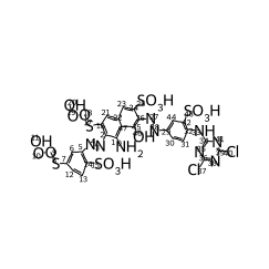 Nc1c(N=Nc2cc(SOOO)ccc2S(=O)(=O)O)c(SOOO)cc2cc(S(=O)(=O)O)c(N=Nc3ccc(Nc4nc(Cl)nc(Cl)n4)c(S(=O)(=O)O)c3)c(O)c12